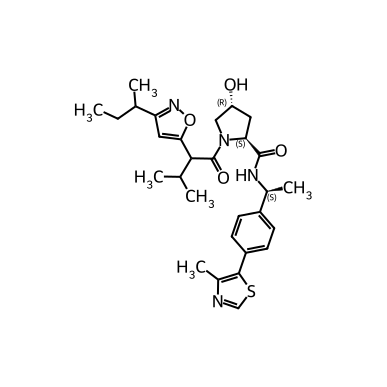 CCC(C)c1cc(C(C(=O)N2C[C@H](O)C[C@H]2C(=O)N[C@@H](C)c2ccc(-c3scnc3C)cc2)C(C)C)on1